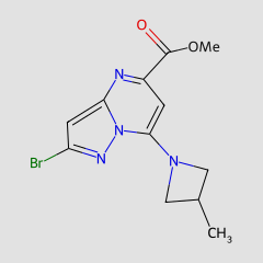 COC(=O)c1cc(N2CC(C)C2)n2nc(Br)cc2n1